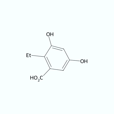 CCc1c(O)cc(O)cc1C(=O)O